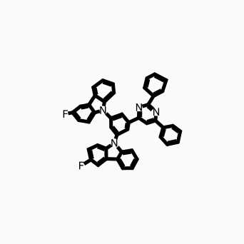 Fc1ccc2c(c1)c1ccccc1n2-c1cc(-c2cc(-c3ccccc3)nc(-c3ccccc3)n2)cc(-n2c3ccccc3c3cc(F)ccc32)c1